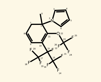 CC1(n2cccc2)CC=CC(C(F)(C(F)(F)F)C(F)(F)F)=C1OC(F)(F)F